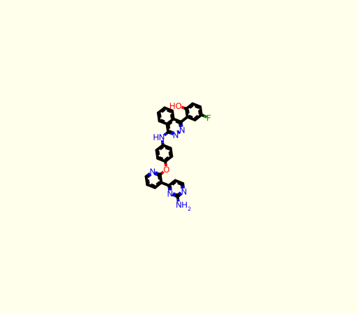 Nc1nccc(-c2cccnc2Oc2ccc(Nc3nnc(-c4cc(F)ccc4O)c4ccccc34)cc2)n1